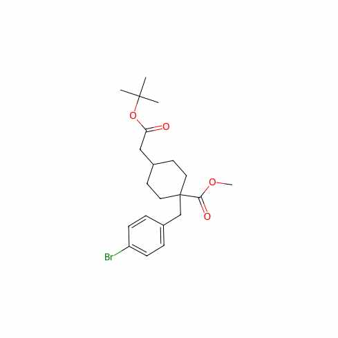 COC(=O)C1(Cc2ccc(Br)cc2)CCC(CC(=O)OC(C)(C)C)CC1